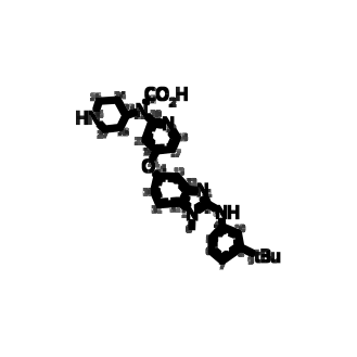 Cn1c(Nc2cccc(C(C)(C)C)c2)nc2cc(Oc3ccnc(N(C(=O)O)C4CCNCC4)c3)ccc21